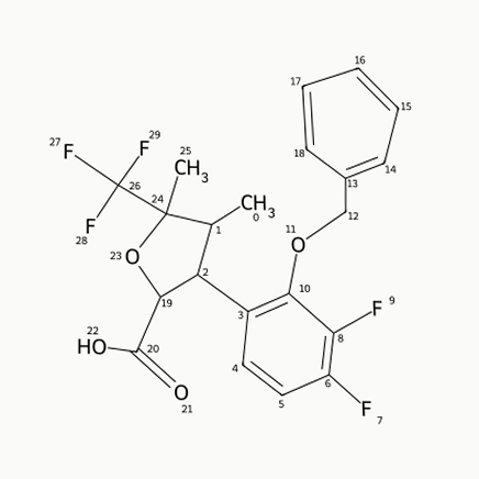 CC1C(c2ccc(F)c(F)c2OCc2ccccc2)C(C(=O)O)OC1(C)C(F)(F)F